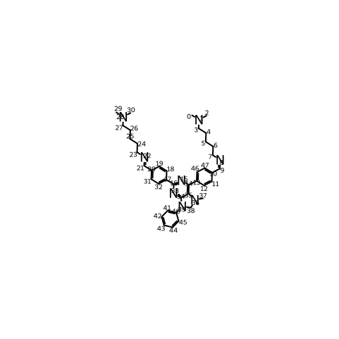 CN(C)CCCCC/N=C\c1ccc(-c2nc(-c3ccc(/C=N/CCCCCN(C)C)cc3)nc3c2N(C)CN3c2ccccc2)cc1